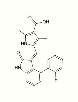 Cc1[nH]c(C=C2C(=O)Nc3cccc(-c4ccccc4F)c32)c(C)c1C(=O)O